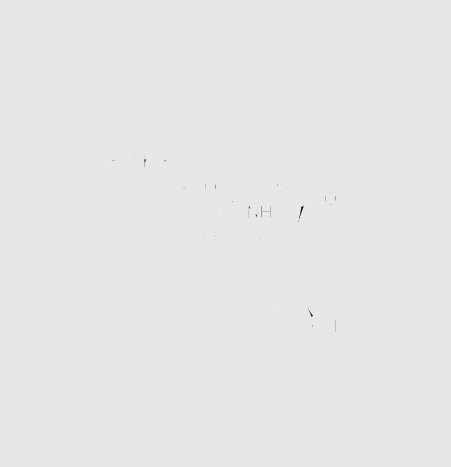 COC(=O)[C@H]1CC[C@@H](O)/C=C/C[C@@H]1NC(=O)OCC[Si](C)(C)C